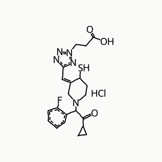 Cl.O=C(O)CCn1nnc(C=C2CN(C(C(=O)C3CC3)c3ccccc3F)CCC2S)n1